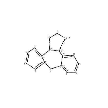 c1ccc2c(c1)Cc1ccccc1C1OCCC21